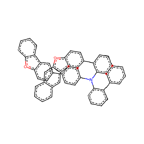 c1ccc(-c2ccccc2N(c2ccc(-c3ccc4oc5ccccc5c4c3)cc2)c2ccccc2-c2ccc3oc4cc5ccccc5cc4c3c2)cc1